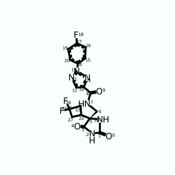 O=C1NC(=O)[C@](CNC(=O)c2cnn(-c3ccc(F)cc3)n2)(C2CC(F)(F)C2)N1